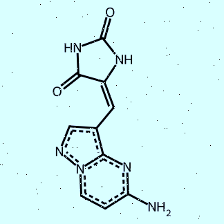 Nc1ccn2ncc(/C=C3/NC(=O)NC3=O)c2n1